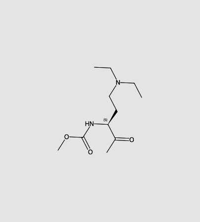 CCN(CC)CC[C@H](NC(=O)OC)C(C)=O